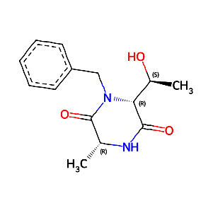 C[C@H](O)[C@@H]1C(=O)N[C@H](C)C(=O)N1Cc1ccccc1